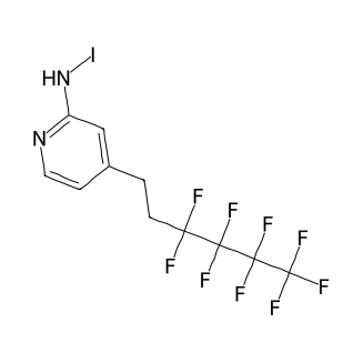 FC(F)(F)C(F)(F)C(F)(F)C(F)(F)CCc1ccnc(NI)c1